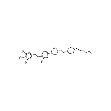 CCCCCC[C@H]1CC[C@H](CC[C@H]2CC[C@H](c3ccc(CCc4cc(F)c(Cl)c(F)c4)c(F)c3)CC2)CC1